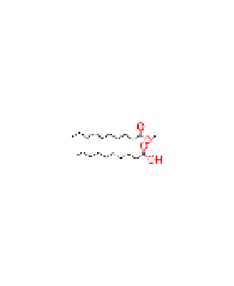 CCCCCCCCCC(=O)O.CCCCCCCCCC(=O)OC